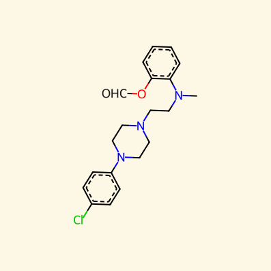 CN(CCN1CCN(c2ccc(Cl)cc2)CC1)c1ccccc1OC=O